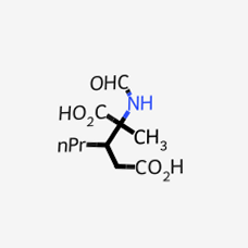 CCCC(CC(=O)O)C(C)(NC=O)C(=O)O